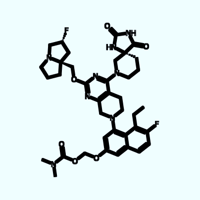 CCc1c(F)ccc2cc(OCOC(=O)N(C)C)cc(N3CCc4c(nc(OC[C@@]56CCCN5C[C@H](F)C6)nc4N4CCC[C@]5(C4)NC(=O)NC5=O)C3)c12